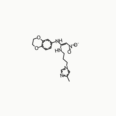 Cc1cn(CCCNC(=C[N+](=O)[O-])Nc2ccc3c(c2)OCCO3)cn1